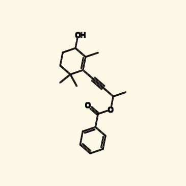 CC1=C(C#CC(C)OC(=O)c2ccccc2)C(C)(C)CCC1O